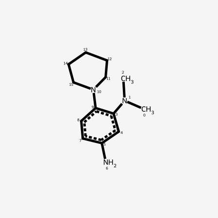 CN(C)c1cc(N)ccc1N1CCCCC1